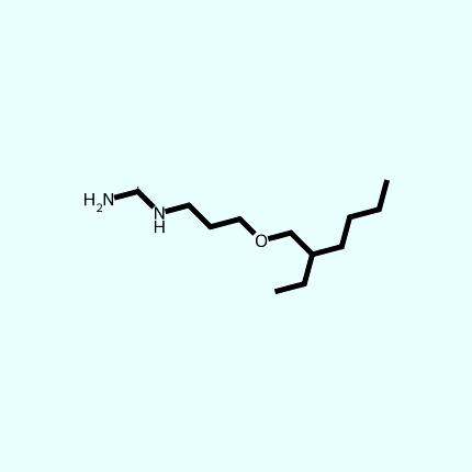 CCCCC(CC)COCCCN[CH]N